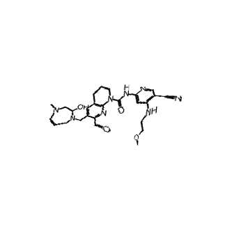 COCCNc1cc(NC(=O)N2CCCc3cc(CN4CCCN(C)CC4O)c(C=O)nc32)ncc1C#N